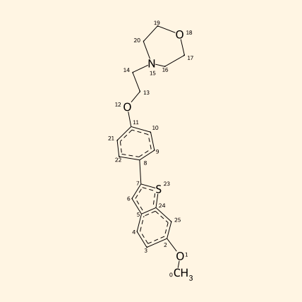 COc1ccc2cc(-c3ccc(OCCN4CCOCC4)cc3)sc2c1